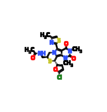 CC(=O)NC[C@H]1Cn2c(-c3nc(C)cs3)c3c(=O)n(C)c(=O)n(C)c3c2[C@H](c2ccc(Cl)o2)S1